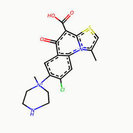 Cc1csc2c(C(=O)O)c(=O)c3cc([N+]4(C)CCNCC4)c(Cl)cc3n12